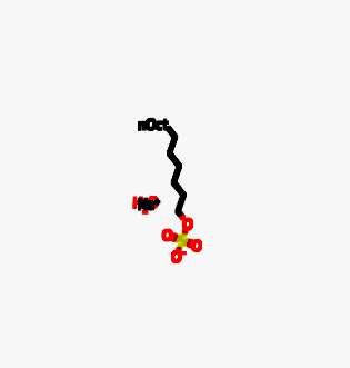 CCCCCCCCCCCCCCOS(=O)(=O)[O-].O.[Na+]